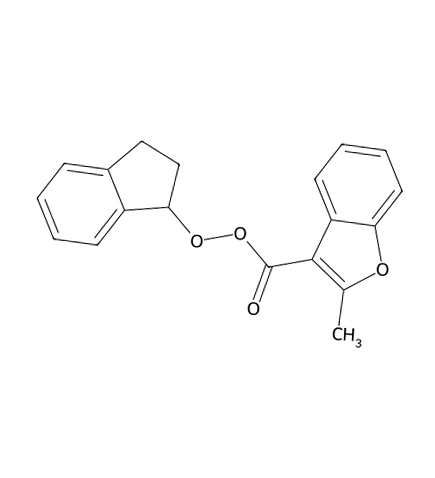 Cc1oc2ccccc2c1C(=O)OOC1CCc2ccccc21